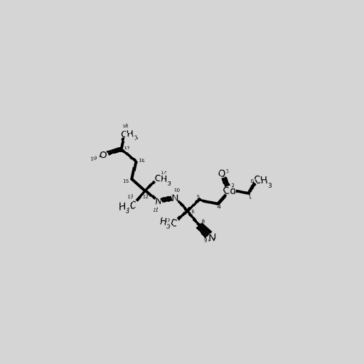 C[CH2][Co](=[O])[CH2]CC(C)(C#N)N=NC(C)(C)CCC(C)=O